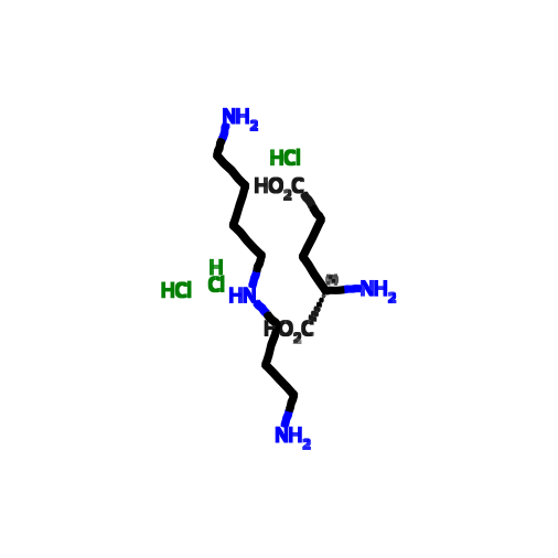 Cl.Cl.Cl.NCCCCNCCCN.N[C@@H](CCC(=O)O)C(=O)O